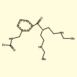 CCC(=O)NCc1cccc(C(=O)N(CCNCC(C)(C)C)CCNCC(C)(C)C)c1